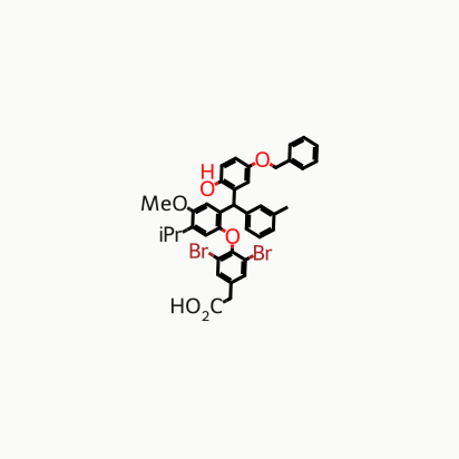 COc1cc(C(c2cccc(C)c2)c2cc(OCc3ccccc3)ccc2O)c(Oc2c(Br)cc(CC(=O)O)cc2Br)cc1C(C)C